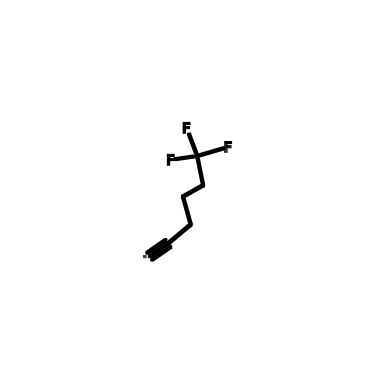 [C]#CCCCC(F)(F)F